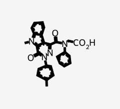 Cc1ccc(-n2nc(C(=O)N(CC(=O)O)c3ccccc3)c3c4ccccc4n(C)c3c2=O)cc1